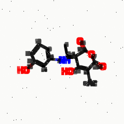 CC(=O)C1=C(O)C(=C(C)Nc2cccc(O)c2)C(=O)OC1=O